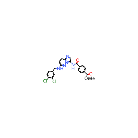 COC(=O)c1ccc(C(=O)Nc2cnc3ccc(NCc4ccc(Cl)c(Cl)c4)nn23)cc1